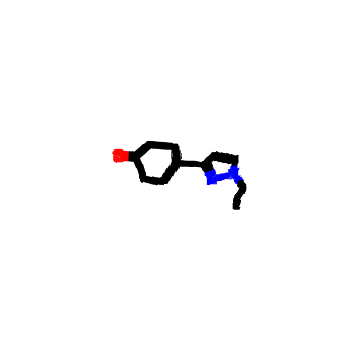 CCn1ccc(C2CCC(=O)CC2)n1